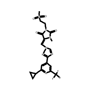 CN1C(=O)N(CCS(C)(=O)=O)C(=O)/C1=C/n1cnc(-c2cc(C3CC3)nc(C(F)(F)F)c2)n1